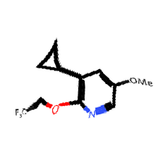 COc1cnc(OCC(F)(F)F)c(C2CC2)c1